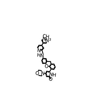 Cn1cc(-c2ccnc(CNc3ccc4c(c3)Cc3cccc(-c5cc(N6CCOCC6)cc(=O)[nH]5)c3O4)c2)cn1